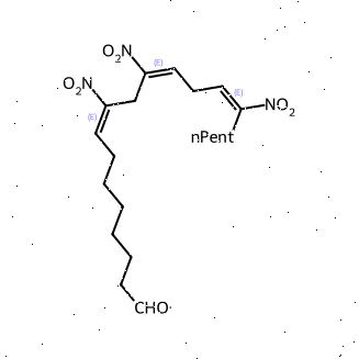 CCCCC/C(=C\C/C=C(\C/C(=C\CCCCCC[C]=O)[N+](=O)[O-])[N+](=O)[O-])[N+](=O)[O-]